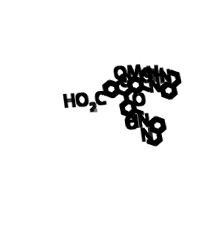 COC(=O)c1ccc(C(=O)O)cc1-c1c2ccc(=O)c(CNc3cccc4cccnc34)c-2oc2c(CNc3cccc4cccnc34)c(O)ccc12